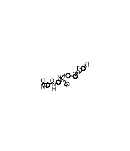 O=C(Nc1ccc2c(c1)nc(CN1CC=C(c3cccc(OCc4ccc(Cl)cc4F)n3)CC1)n2CC1CCO1)c1ccn2ncc(Cl)c2c1